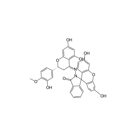 COc1ccc([C@H]2C/C(=N\N3C(=O)c4ccccc4C34c3ccc(O)cc3Oc3cc(O)ccc34)c3c(O)cc(O)cc3O2)cc1O